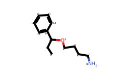 CCC(OCCCCN)c1ccccc1